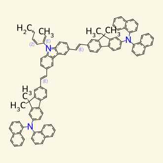 C=C/C=C\C(=C/C)n1c2ccc(/C=C/c3ccc4c(c3)C(C)(C)c3cc(N(c5cccc6ccccc56)c5cccc6ccccc56)ccc3-4)cc2c2cc(/C=C/c3ccc4c(c3)C(C)(C)c3cc(N(c5cccc6ccccc56)c5cccc6ccccc56)ccc3-4)ccc21